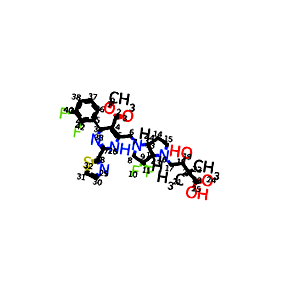 COC(=O)C1=C(CN2CC(F)(F)[C@H]3[C@@H]2CCN3C[C@@H](O)C(C)(C)C(=O)O)NC(c2nccs2)=N[C@H]1c1cccc(F)c1F